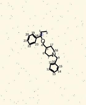 C/C=C(\OCC1CCN(Cc2ccccc2)CC1)c1ccccc1